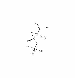 N[C@@]1(C(=O)O)C[C@@]1(F)CP(=O)(O)O